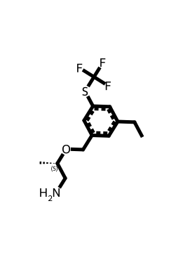 CCc1cc(CO[C@@H](C)CN)cc(SC(F)(F)F)c1